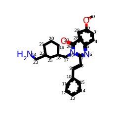 COc1ccc2nc(/C=C/c3ccccc3)n(CC3CCCC(CN)C3)c(=O)c2c1